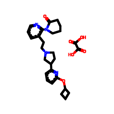 O=C(O)C(=O)O.O=C1CCCCN1c1ncccc1CCN1CCC(c2cccc(OC3CCC3)n2)C1